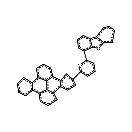 c1cc(-c2ccc3c(c2)c2cccc4c5ccccc5c5cccc3c5c42)nc(-c2cccc3c2oc2ccccc23)c1